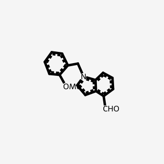 COc1ccccc1Cn1ccc2c(C=O)cccc21